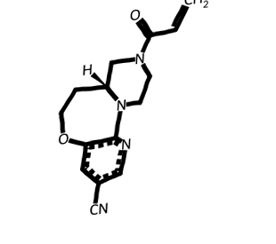 C=CC(=O)N1CCN2c3ncc(C#N)cc3OCC[C@@H]2C1